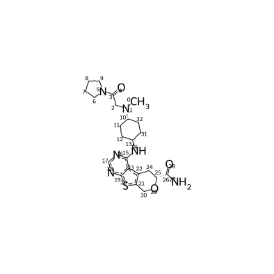 CN(CC(=O)N1CCCC1)[C@H]1CC[C@H](Nc2ncnc3sc4c(c23)C[C@H](C(N)=O)OC4)CC1